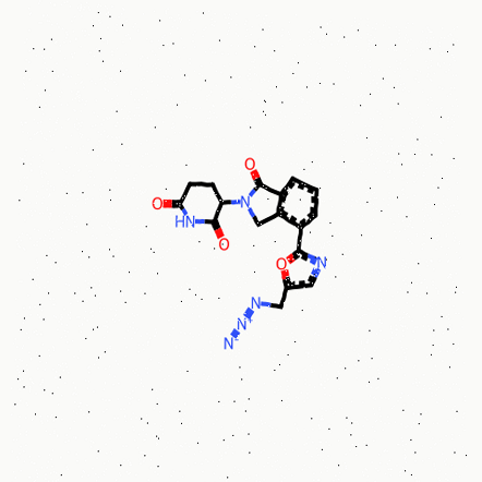 [N-]=[N+]=NCc1cnc(-c2cccc3c2CN(C2CCC(=O)NC2=O)C3=O)o1